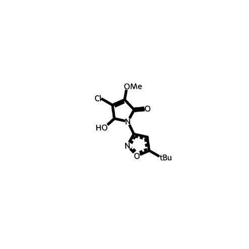 COC1=C(Cl)C(O)N(c2cc(C(C)(C)C)on2)C1=O